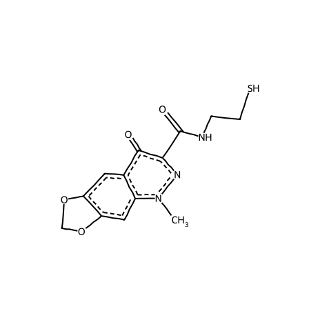 Cn1nc(C(=O)NCCS)c(=O)c2cc3c(cc21)OCO3